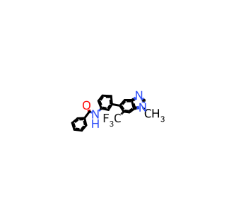 Cn1cnc2cc(-c3cccc(NC(=O)c4ccccc4)c3)c(C(F)(F)F)cc21